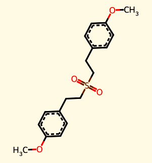 COc1ccc(CCS(=O)(=O)CCc2ccc(OC)cc2)cc1